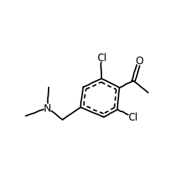 CC(=O)c1c(Cl)cc(CN(C)C)cc1Cl